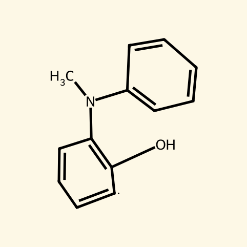 CN(c1ccccc1)c1ccc[c]c1O